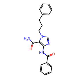 NC(=O)c1c(NC(=O)c2ccccc2)ncn1CCCc1ccccc1